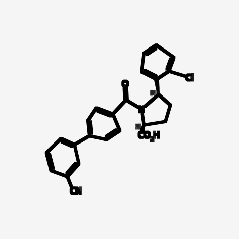 N#Cc1cccc(-c2ccc(C(=O)N3[C@@H](c4ccccc4Cl)CC[C@H]3C(=O)O)cc2)c1